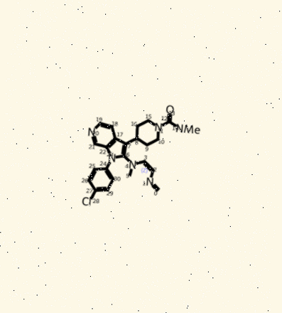 C=N/C=C\N(C)c1c(C2CCN(C(=O)NC)CC2)c2ccncc2n1-c1ccc(Cl)cc1